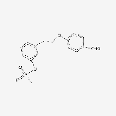 CS(=O)(=O)Oc1cccc(CCOc2ccc(C=O)cc2)c1